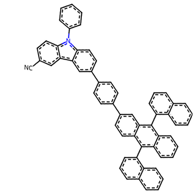 N#Cc1ccc2c(c1)c1cc(-c3ccc(-c4ccc5c(-c6cccc7ccccc67)c6ccccc6c(-c6cccc7ccccc67)c5c4)cc3)ccc1n2-c1ccccc1